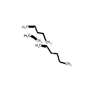 C=C.C=CCCC.C=CCCCC